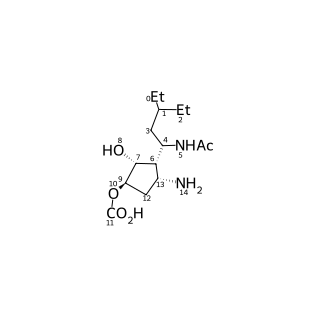 CCC(CC)CC(NC(C)=O)[C@H]1[C@@H](O)[C@H](OC(=O)O)C[C@H]1N